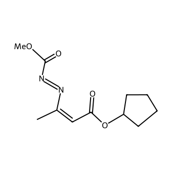 COC(=O)N=N/C(C)=C\C(=O)OC1CCCC1